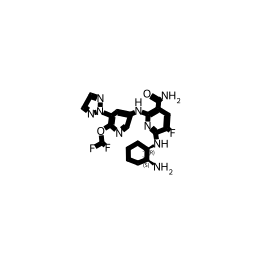 NC(=O)c1cc(F)c(N[C@@H]2CCCC[C@@H]2N)nc1Nc1cnc(OC(F)F)c(-n2nccn2)c1